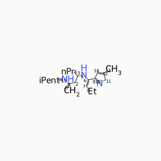 C=C(CC(CCC)N/C(=C/CC)C1=NCC(C)=C1)NC(C)CCC